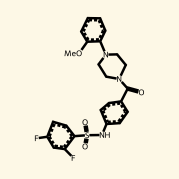 COc1ccccc1N1CCN(C(=O)c2ccc(NS(=O)(=O)c3ccc(F)cc3F)cc2)CC1